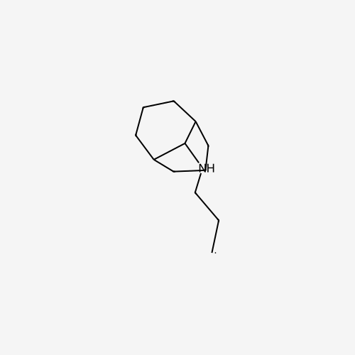 [CH2]CCNC1C2CCCC1CCC2